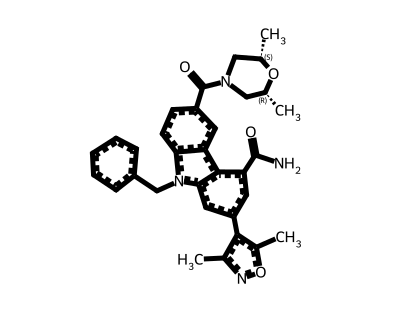 Cc1noc(C)c1-c1cc(C(N)=O)c2c3cc(C(=O)N4C[C@@H](C)O[C@@H](C)C4)ccc3n(Cc3ccccc3)c2c1